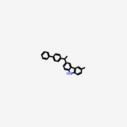 Cc1ccc2[nH]c3ccc(C(C)c4ccc(-c5ccccc5)cc4)cc3c2c1